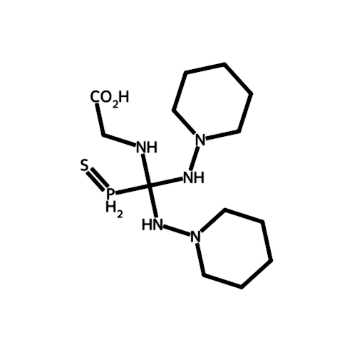 O=C(O)CNC(NN1CCCCC1)(NN1CCCCC1)[PH2]=S